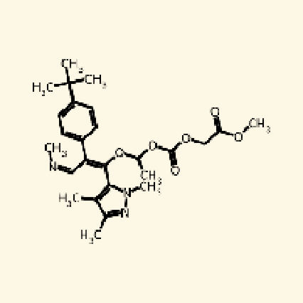 C/N=C\C(=C(\OC(C)OC(=O)OCC(=O)OC)c1c(C)c(C)nn1C)c1ccc(C(C)(C)C)cc1